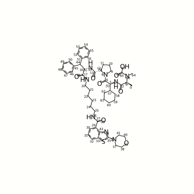 C[C@@H](C(=O)N[C@H](C(=O)N1CCC[C@H]1C(=O)N[C@H](C(=O)NCCCCCCNC(=O)c1cccc2sc(N3CCOCC3)nc12)C(c1ccccc1)c1ccccc1)C1CCCCC1)N(C)C(=O)O